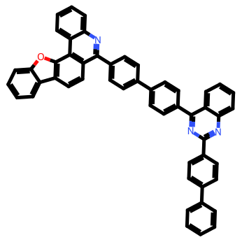 c1ccc(-c2ccc(-c3nc(-c4ccc(-c5ccc(-c6nc7ccccc7c7c6ccc6c8ccccc8oc67)cc5)cc4)c4ccccc4n3)cc2)cc1